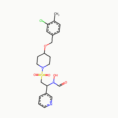 Cc1ccc(COC2CCN(S(=O)(=O)CC(c3cccnc3)N(O)C=O)CC2)cc1Cl